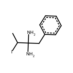 CC(I)C(N)(N)Cc1ccccc1